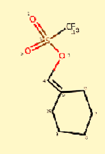 O=S(=O)(OC=C1CCCCC1)C(F)(F)F